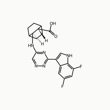 O=C(O)[C@H]1C2CCC(CC2)[C@@H]1Nc1cnnc(-c2c[nH]c3c(F)cc(F)cc23)n1